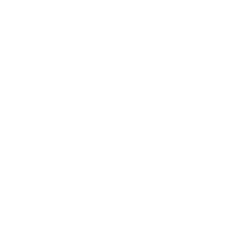 SOc1csc2c1CC2